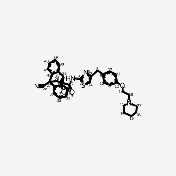 CC1(C(=O)Nc2nc(Cc3ccc(OCCN4CCCCC4)cc3)cs2)CC2(C#N)c3ccccc3C1c1ccccc12